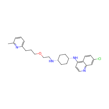 Cc1cccc(CCCOCCN[C@H]2CC[C@@H](Nc3ccnc4cc(Cl)ccc34)CC2)n1